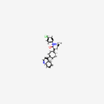 C#CC[C@@H](C(=O)Nc1ccc(Cl)cc1)C1CCCC(c2ccnc3ccccc23)CC1